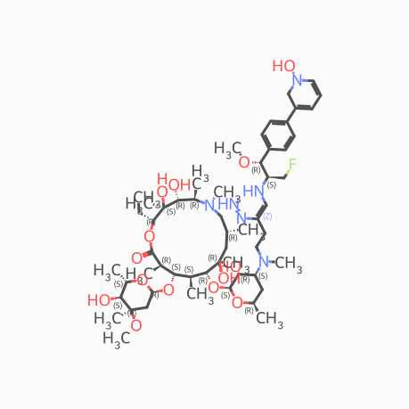 CC[C@H]1OC(=O)[C@H](C)[C@@H](O[C@H]2C[C@@](C)(OC)[C@@H](O)[C@H](C)O2)[C@H](C)[C@@H](O[C@@H]2O[C@H](C)C[C@H](N(C)CC/C(=C/N[C@H](CF)[C@H](OC)c3ccc(C4=CC=CN(O)C4)cc3)N=N)[C@H]2O)[C@](C)(O)C[C@@H](C)CN(C)[C@H](C)[C@@H](O)[C@]1(C)O